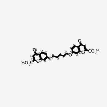 O=C(O)c1cc(=O)c2ccc(OCCCCCOc3ccc4c(=O)cc(C(=O)O)oc4c3)cc2o1